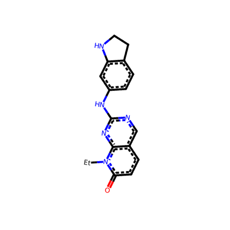 CCn1c(=O)ccc2cnc(Nc3ccc4c(c3)NCC4)nc21